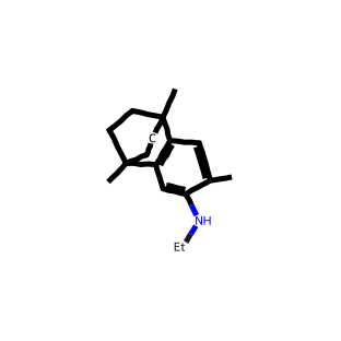 CCNc1cc2c(cc1C)C1(C)CCC2(C)CC1